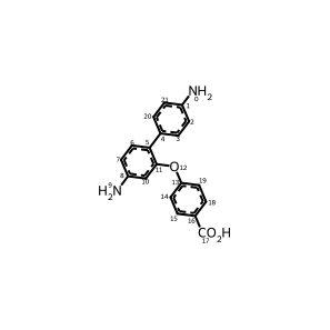 Nc1ccc(-c2ccc(N)cc2Oc2ccc(C(=O)O)cc2)cc1